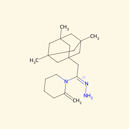 C=C1CCCCN1/C(CC12CC3(C)CC(C)(CC(C)(C3)C1)C2)=N\N